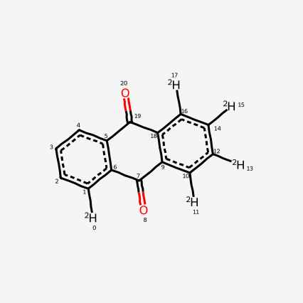 [2H]c1cccc2c1C(=O)c1c([2H])c([2H])c([2H])c([2H])c1C2=O